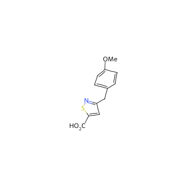 COc1ccc(Cc2cc(C(=O)O)sn2)cc1